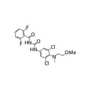 COCCN(C)c1c(Cl)cc(NC(=O)NC(=O)c2c(F)cccc2F)cc1Cl